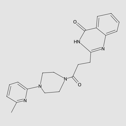 Cc1cccc(N2CCN(C(=O)CCc3nc4ccccc4c(=O)[nH]3)CC2)n1